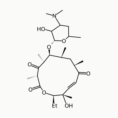 CC[C@H]1OC(=O)[C@H](C)C(=O)[C@H](C)[C@@H](O[C@H]2OC(C)CC(N(C)C)C2O)[C@@H](C)C[C@@H](C)C(=O)/C=C/[C@]1(C)O